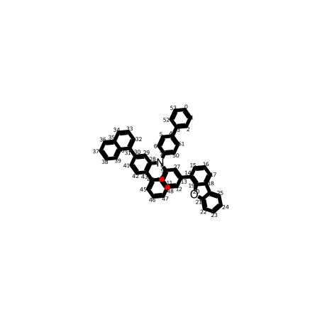 c1ccc(-c2ccc(N(c3cccc(-c4cccc5c4oc4ccccc45)c3)c3cc(-c4cccc5ccccc45)ccc3-c3ccccc3)cc2)cc1